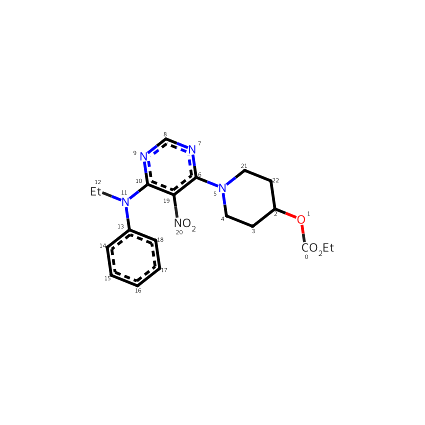 CCOC(=O)OC1CCN(c2ncnc(N(CC)c3ccccc3)c2[N+](=O)[O-])CC1